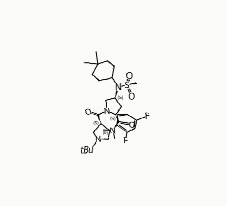 CN(C)C(=O)[C@@H]1C[C@H](N(C2CCC(C)(C)CC2)S(C)(=O)=O)CN1C(=O)[C@@H]1CN(C(C)(C)C)C[C@H]1c1ccc(F)cc1F